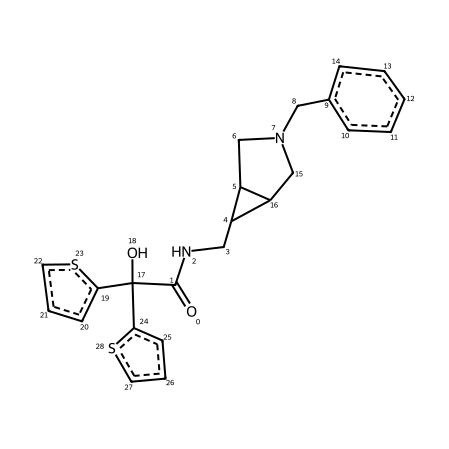 O=C(NCC1C2CN(Cc3ccccc3)CC12)C(O)(c1cccs1)c1cccs1